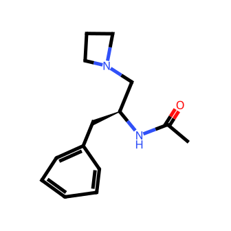 CC(=O)N[C@@H](Cc1ccccc1)CN1CCC1